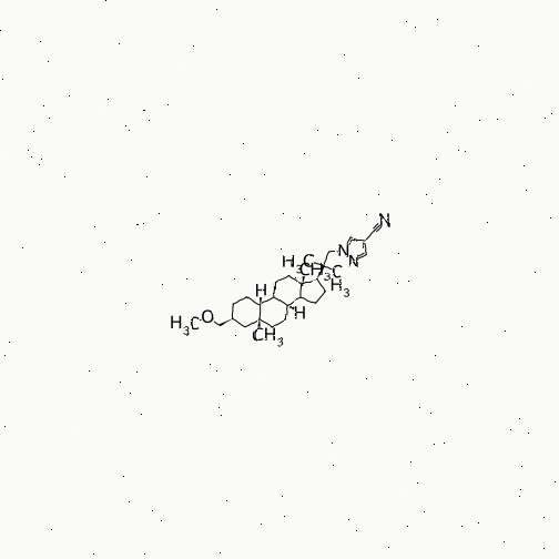 COC[C@H]1CC[C@@H]2C3CC[C@@]4(C)C(CC[C@@H]4C(C)(C)Cn4cc(C#N)cn4)[C@@H]3CC[C@]2(C)C1